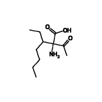 CCCCC(CC)C(N)(C(C)=O)C(=O)O